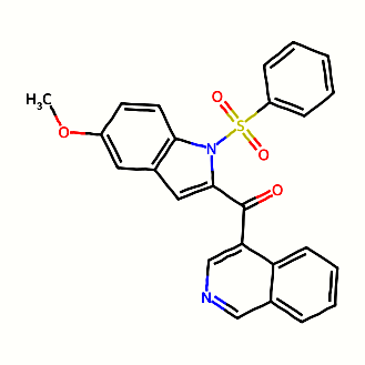 COc1ccc2c(c1)cc(C(=O)c1cncc3ccccc13)n2S(=O)(=O)c1ccccc1